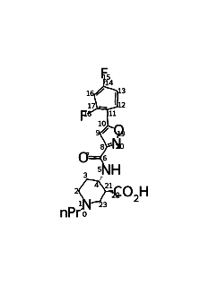 CCCN1CC[C@H](NC(=O)c2cc(-c3ccc(F)cc3F)on2)[C@@H](C(=O)O)C1